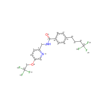 O=C(NCc1ccc(OCC(F)(F)F)cn1)c1ccc(CCCC(F)(F)F)cc1